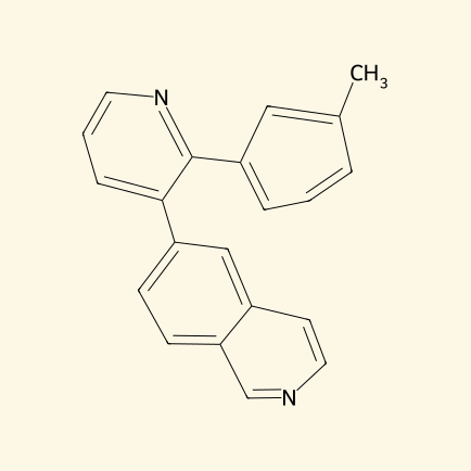 Cc1cccc(-c2ncccc2-c2ccc3cnccc3c2)c1